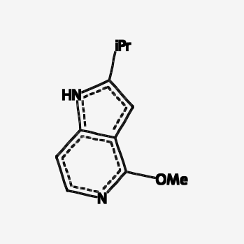 COc1nccc2[nH]c(C(C)C)cc12